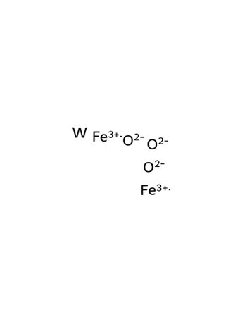 [Fe+3].[Fe+3].[O-2].[O-2].[O-2].[W]